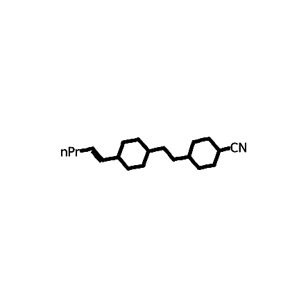 CCC/C=C/C1CCC(CCC2CCC(C#N)CC2)CC1